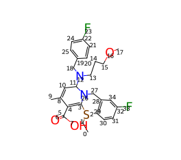 CCSC1=C(C(=O)O)C(C)=CC(N(CCCOC)Cc2ccc(F)cc2)N1Cc1cccc(F)c1